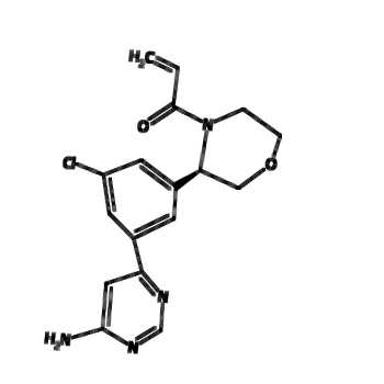 C=CC(=O)N1CCOC[C@H]1c1cc(Cl)cc(-c2cc(N)ncn2)c1